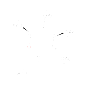 CC(=O)OCC1O[C@@H](OC(C)=O)C(OC(C)=O)[C@@H](OC(C)=O)[C@@H]1OC(C)=O